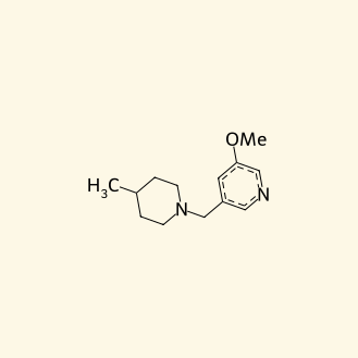 COc1cncc(CN2CCC(C)CC2)c1